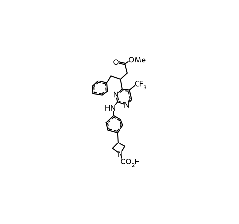 COC(=O)CC(Cc1ccccc1)c1nc(Nc2ccc(C3CN(C(=O)O)C3)cc2)ncc1C(F)(F)F